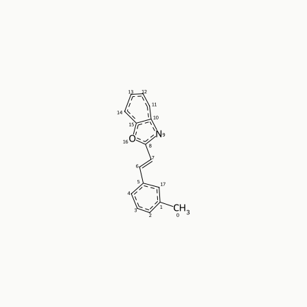 Cc1cccc(C=Cc2nc3ccccc3o2)c1